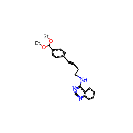 CCOC(OCC)c1ccc(C#CCCNc2ncnc3ccccc23)cc1